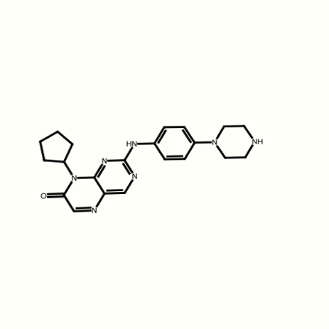 O=c1cnc2cnc(Nc3ccc(N4CCNCC4)cc3)nc2n1C1CCCC1